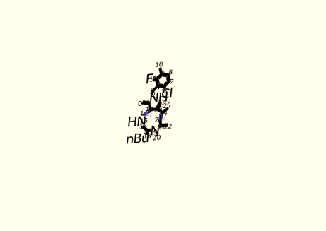 C=C(NCc1c(Cl)ccc(C)c1F)/C1=C/NCC(CCCC)N(C)C(=C)/C=C(\C)C1=C